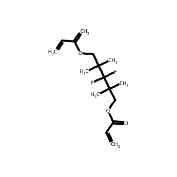 C=CC(=C)OCC(C)(C)C(F)(F)C(C)(C)COC(=O)C=C